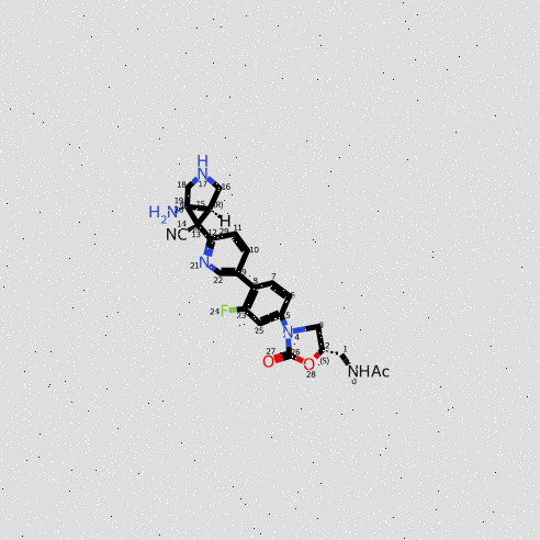 CC(=O)NC[C@H]1CN(c2ccc(-c3ccc([C@@]4(C#N)[C@@H]5CNC[C@@]54N)nc3)c(F)c2)C(=O)O1